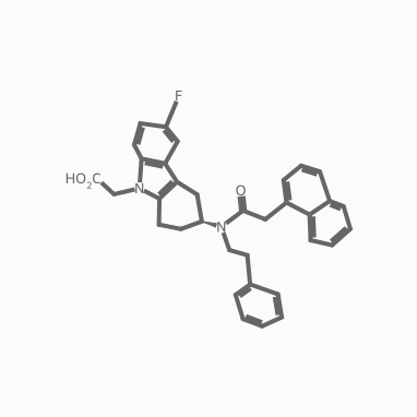 O=C(O)Cn1c2c(c3cc(F)ccc31)C[C@@H](N(CCc1ccccc1)C(=O)Cc1cccc3ccccc13)CC2